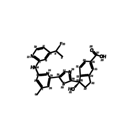 Cc1cc(Nc2cc(C(C)F)ccn2)nc(-c2cnc([C@@]3(O)CCc4cc(C(=O)O)ccc43)s2)c1